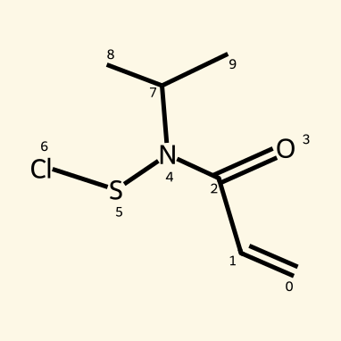 C=CC(=O)N(SCl)C(C)C